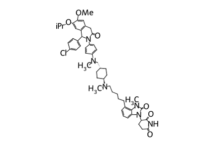 COc1cc2c(cc1OC(C)C)C(c1ccc(Cl)cc1)N(c1ccc(N(C)C[C@H]3CC[C@H](N(C)CCCCCc4cccc5c4n(C)c(=O)n5C4CCC(=O)NC4=O)CC3)cc1)C(=O)C2